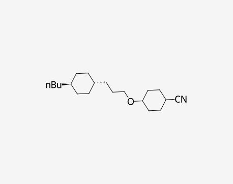 CCCC[C@H]1CC[C@H](CCCOC2CCC(C#N)CC2)CC1